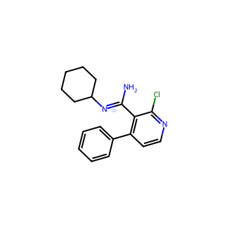 N/C(=N\C1CCCCC1)c1c(-c2ccccc2)ccnc1Cl